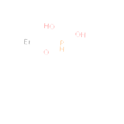 CCO[PH](O)(O)c1ccccc1